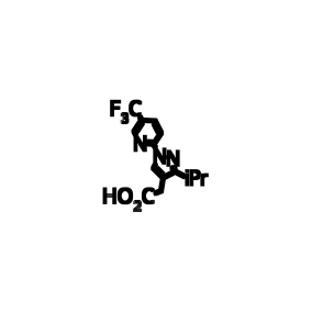 CC(C)c1nn(-c2ccc(C(F)(F)F)cn2)cc1CC(=O)O